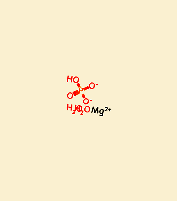 O.O.O=P([O-])([O-])O.[Mg+2]